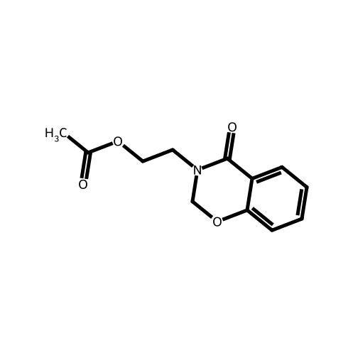 CC(=O)OCCN1COc2ccccc2C1=O